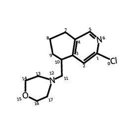 Clc1cc2c(cn1)CCCC2CN1CCOCC1